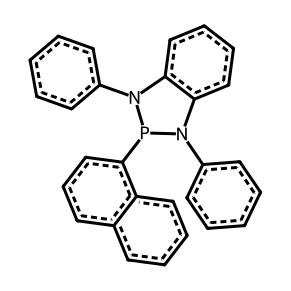 c1ccc(N2c3ccccc3N(c3ccccc3)P2c2cccc3ccccc23)cc1